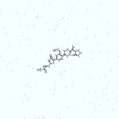 CC(=S)NCC1CN(c2ccc(N3CCN(C(=S)C4CCCN4)CC3)c(F)c2)C(=O)O1.Cl